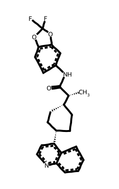 C[C@@H](C(=O)Nc1ccc2c(c1)OC(F)(F)O2)[C@H]1CC[C@@H](c2ccnc3ccccc32)CC1